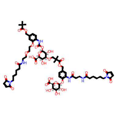 CC(C)(C)C(=O)OCc1ccc(NC(=O)O[C@@H]2O[C@H](C(=O)O)[C@@H](O)[C@H](OCC(C)(C)C(=O)OCc3ccc(O[C@@H]4O[C@H](C(=O)O)[C@@H](O)[C@H](O)[C@H]4O)c(NC(=O)CCNC(=O)CCCCCN4C(=O)C=CC4=O)c3)[C@H]2O)c(OCCOCCNC(=O)CCCCCN2C(=O)C=CC2=O)c1